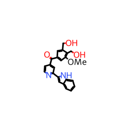 COc1cc(C(=O)c2ccnc(-c3cc4ccccc4[nH]3)c2)cc(CO)c1CO